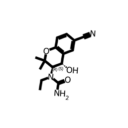 CCN(C(N)=O)[C@@H]1[C@@H](O)c2cc(C#N)ccc2OC1(C)C